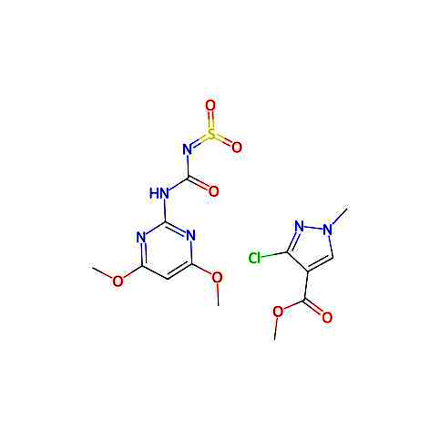 COC(=O)c1cn(C)nc1Cl.COc1cc(OC)nc(NC(=O)N=S(=O)=O)n1